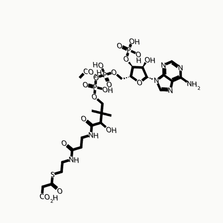 CC(=O)O.CC(C)(COP(=O)(O)OP(=O)(O)OC[C@H]1O[C@@H](n2cnc3c(N)ncnc32)[C@H](O)[C@@H]1OP(=O)(O)O)C(O)C(=O)NCCC(=O)NCCSC(=O)CC(=O)O